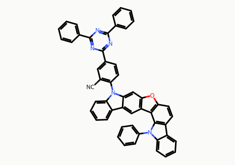 N#Cc1cc(-c2nc(-c3ccccc3)nc(-c3ccccc3)n2)ccc1-n1c2ccccc2c2cc3c(cc21)oc1ccc2c4ccccc4n(-c4ccccc4)c2c13